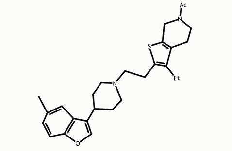 CCc1c(CCN2CCC(c3coc4ccc(C)cc34)CC2)sc2c1CCN(C(C)=O)C2